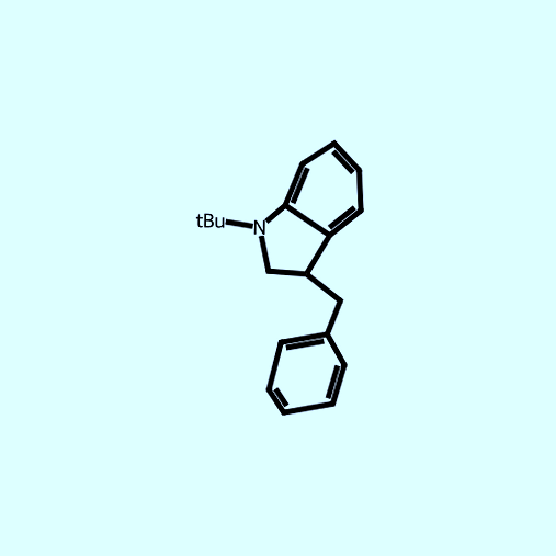 CC(C)(C)N1CC(Cc2ccccc2)c2ccccc21